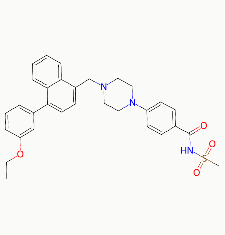 CCOc1cccc(-c2ccc(CN3CCN(c4ccc(C(=O)NS(C)(=O)=O)cc4)CC3)c3ccccc23)c1